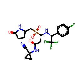 N#CC1(NC(=O)C[C@H](N[C@@H](c2ccc(F)cc2)C(F)(F)F)S(=O)(=O)CC2CCC(=O)N2)CC1